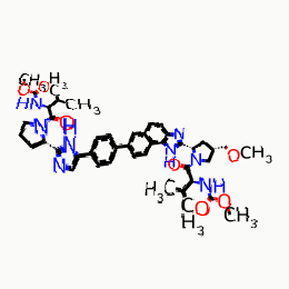 COC[C@H]1C[C@@H](c2nc3ccc4cc(-c5ccc(-c6cnc([C@@H]7CCCN7C(=O)[C@@H](NC(=O)OC)C(C)C)[nH]6)cc5)ccc4c3[nH]2)N(C(=O)[C@@H](NC(=O)OC)C(C)C)C1